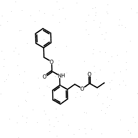 CCC(=O)OCc1ccccc1NC(=O)OCc1ccccc1